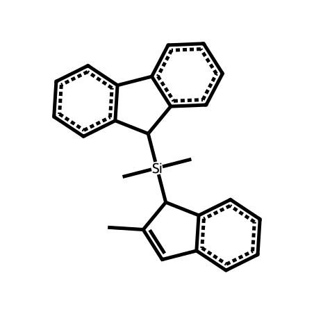 CC1=Cc2ccccc2C1[Si](C)(C)C1c2ccccc2-c2ccccc21